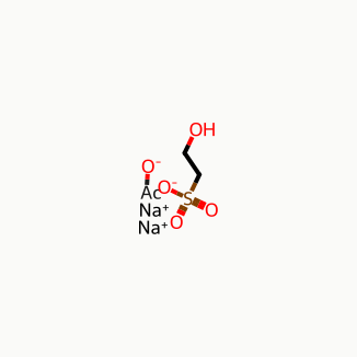 CC(=O)[O-].O=S(=O)([O-])CCO.[Na+].[Na+]